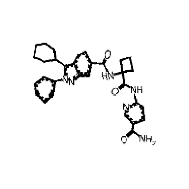 NC(=O)c1ccc(NC(=O)C2(NC(=O)c3ccc4c(C5CCCCC5)n(-c5ccccc5)nc4c3)CCC2)nc1